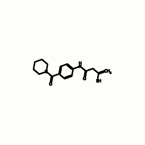 C=C(S)CC(=O)Nc1ccc(C(=O)N2CCCCC2)cc1